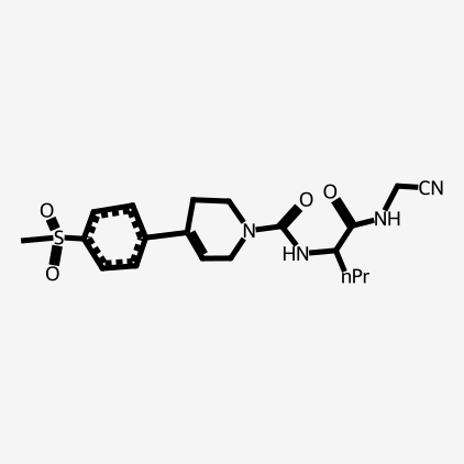 CCCC(NC(=O)N1CC=C(c2ccc(S(C)(=O)=O)cc2)CC1)C(=O)NCC#N